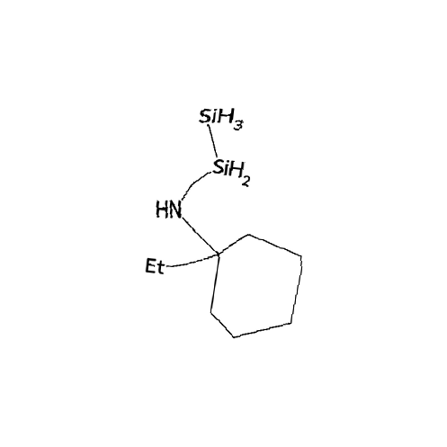 CCC1(N[SiH2][SiH3])CCCCC1